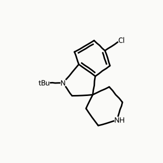 CC(C)(C)N1CC2(CCNCC2)c2cc(Cl)ccc21